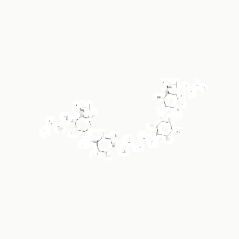 CCCCc1cc(Cc2ccc(CCCCCc3ccc(Cc4ccc(N)c(CCCC)c4)cc3)cc2)ccc1N